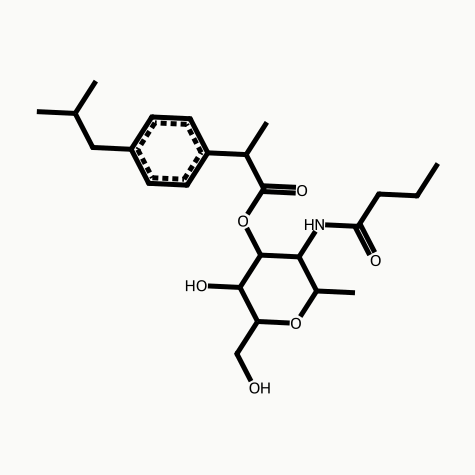 CCCC(=O)NC1C(C)OC(CO)C(O)C1OC(=O)C(C)c1ccc(CC(C)C)cc1